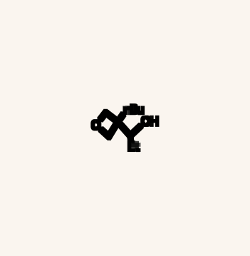 CCCCC1(C(O)CC)COC1